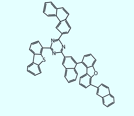 c1ccc2cc(-c3cccc4c3oc3cccc(-c5cc(-c6nc(-c7ccc8ccc9ccccc9c8c7)nc(-c7cccc8c7sc7ccccc78)n6)cc6ccccc56)c34)ccc2c1